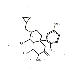 COc1ccc(C)c(C23CCN(CC4CC4)C(C)C2C(C)C(C)C(=O)C3)c1